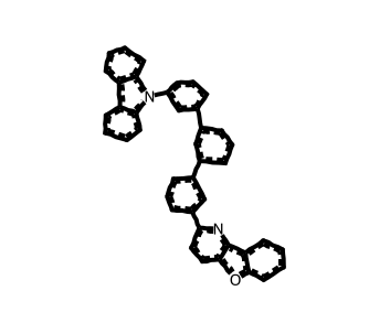 c1cc(-c2cccc(-c3ccc4oc5ccccc5c4n3)c2)cc(-c2cccc(-n3c4ccccc4c4ccccc43)c2)c1